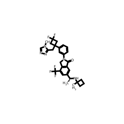 C[C@H](NC1(C)CCC1)c1cc2c(c(C(F)(F)F)c1)CN(c1cccc(C3(Cc4nncn4C)CC(F)(F)C3)c1)C2=O